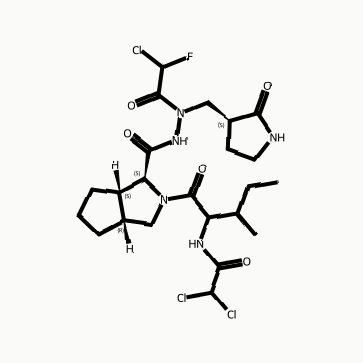 CCC(C)C(NC(=O)C(Cl)Cl)C(=O)N1C[C@@H]2CCC[C@@H]2[C@H]1C(=O)NN(C[C@@H]1CCNC1=O)C(=O)C(F)Cl